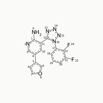 Nc1ncc(-c2ccoc2)cc1-c1nnnn1-c1cccc(F)c1F